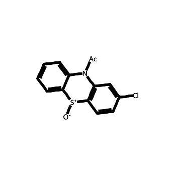 CC(=O)N1c2ccccc2[S+]([O-])c2ccc(Cl)cc21